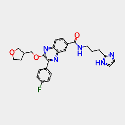 O=C(NCCCc1ncc[nH]1)c1ccc2nc(OCC3CCOC3)c(-c3ccc(F)cc3)nc2c1